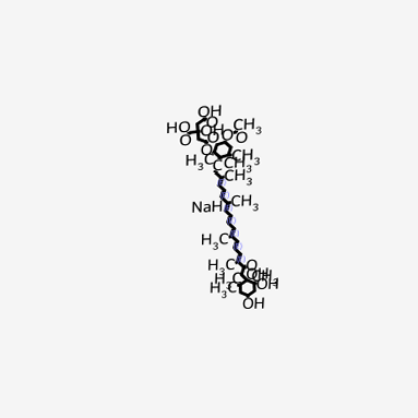 CC(=O)OC1CC(C)(C)C(=C=C/C(C)=C/C=C/C(C)=C/C=C/C=C(C)/C=C/C=C(\C)C(=O)CC2(O)C(C)(C)CC(O)CC2(C)O)C(C)(OC(=O)CC(O)(CC(=O)O)C(=O)O)C1.[NaH]